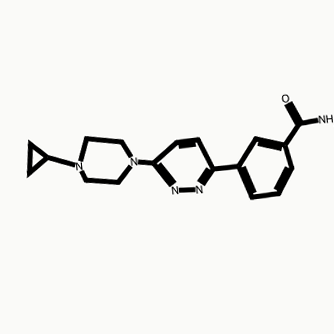 NC(=O)c1cccc(-c2ccc(N3CCN(C4CC4)CC3)nn2)c1